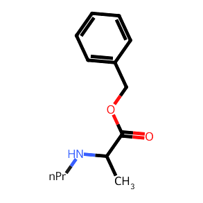 CCCNC(C)C(=O)OCc1ccccc1